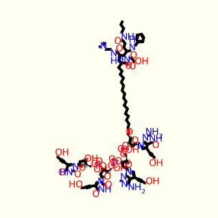 CCCCNC(=O)CCC(CC(CC(CCCCCCCCCCCCCCCCCOC[C@H]1O[C@@H](n2cc(C#CCO)c3c(=O)[nH]c(N)nc32)C[C@H]1OP(=O)(O)OC[C@H]1O[C@@H](n2cc(C#CCO)c3c(N)ncnc32)C[C@H]1OP(=O)(O)OC[C@H]1O[C@@H](n2cc(C#CCO)c(=O)[nH]c2=O)C[C@H]1OP(=O)(O)OC[C@H]1O[C@@H](n2cc(C#CCO)c(=O)[nH]c2=O)C[C@H]1O)C(=O)NCC(=O)O)C(=O)NCCN(C)C)C(=O)NCc1ccccc1